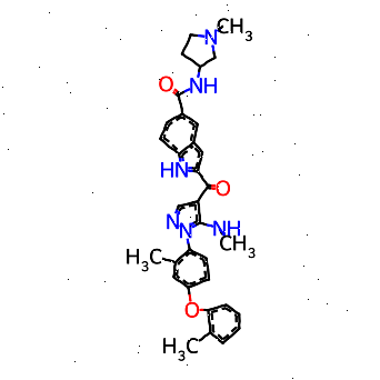 CNc1c(C(=O)c2cc3cc(C(=O)NC4CCN(C)C4)ccc3[nH]2)cnn1-c1ccc(Oc2ccccc2C)cc1C